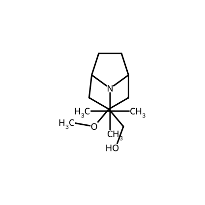 COC1(CO)CC2CCC(C1)N2C(C)(C)C